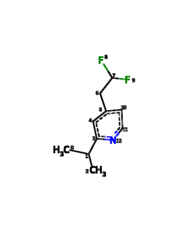 CC(C)c1cc(CC(F)F)ccn1